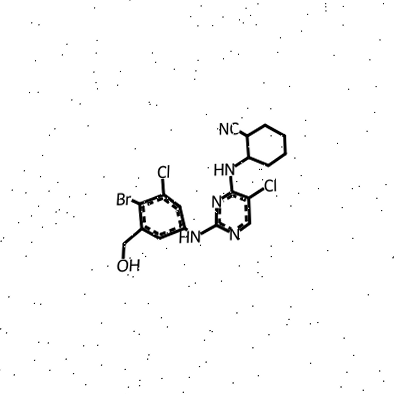 N#CC1CCCCC1Nc1nc(Nc2cc(Cl)c(Br)c(CO)c2)ncc1Cl